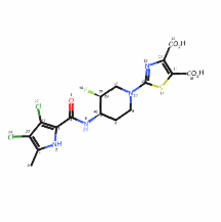 Cc1[nH]c(C(=O)N[C@@H]2CCN(c3nc(C(=O)O)c(C(=O)O)s3)C[C@@H]2F)c(Cl)c1Cl